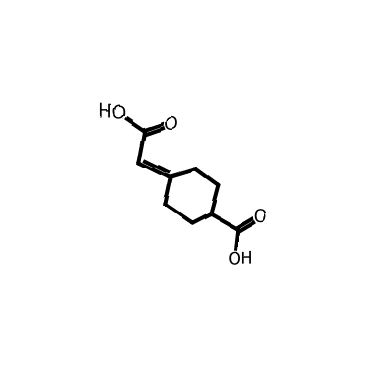 O=C(O)C=C1CCC(C(=O)O)CC1